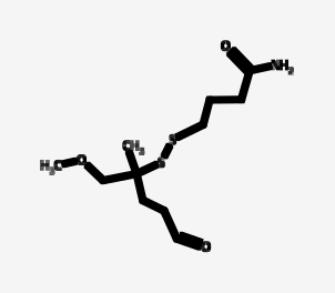 COCC(C)(CCC=O)SSCCCC(N)=O